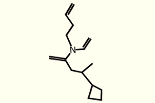 C=CCCN(C=C)C(=C)CC(C)C1CCC1